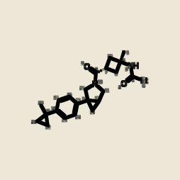 CCC(=O)N[C@]1(C)C[C@H](C(=O)N2CC3CC3(c3ccc(C4(C)CC4)cc3)C2)C1